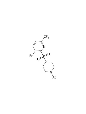 CC(=O)N1CCC(S(=O)(=O)c2nc(C(F)(F)F)ccc2Br)CC1